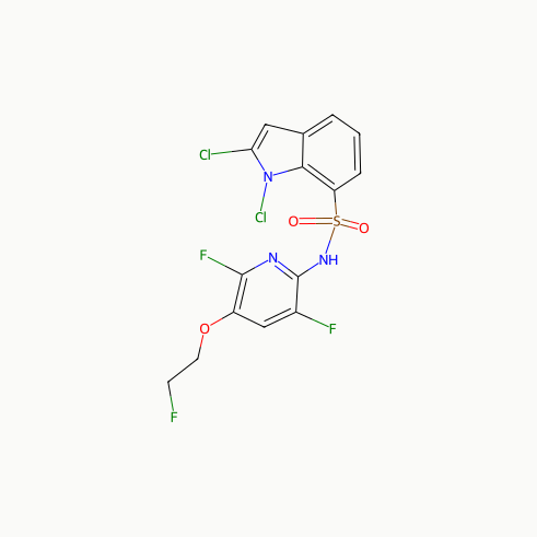 O=S(=O)(Nc1nc(F)c(OCCF)cc1F)c1cccc2cc(Cl)n(Cl)c12